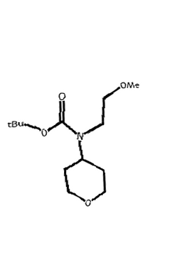 COCCN(C(=O)OC(C)(C)C)C1CCOCC1